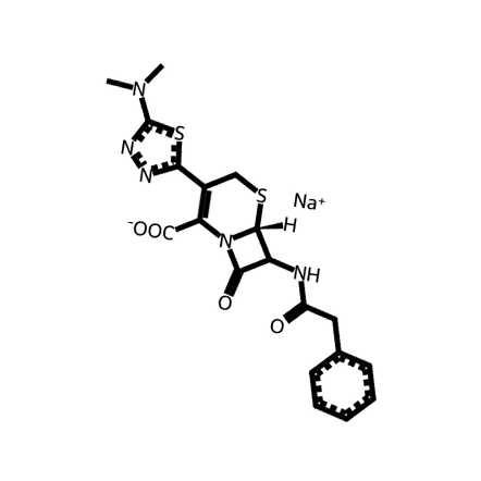 CN(C)c1nnc(C2=C(C(=O)[O-])N3C(=O)C(NC(=O)Cc4ccccc4)[C@H]3SC2)s1.[Na+]